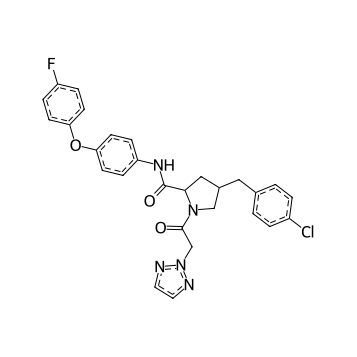 O=C(Nc1ccc(Oc2ccc(F)cc2)cc1)C1CC(Cc2ccc(Cl)cc2)CN1C(=O)Cn1nccn1